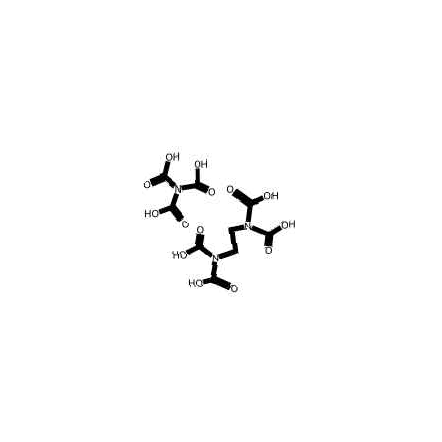 O=C(O)N(C(=O)O)C(=O)O.O=C(O)N(CCN(C(=O)O)C(=O)O)C(=O)O